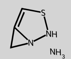 C1=C2CN2NS1.N